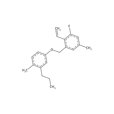 C=Cc1c(F)cc(C)cc1COc1ccc(C)c(CCC)c1